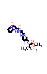 COC(=O)C(NCc1ccc2nc(CNC(=O)c3cc(=O)n4ccccc4n3)cn2c1)C(C)C